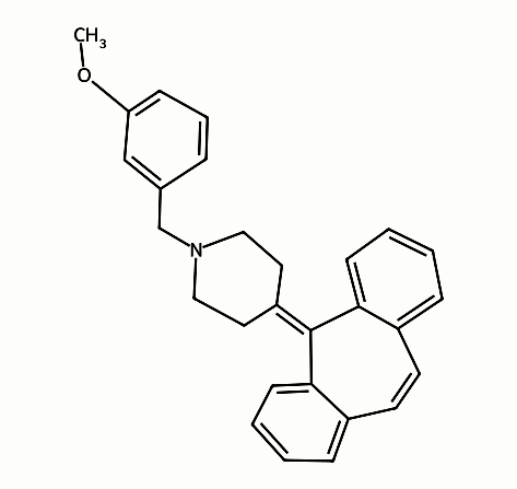 COc1cccc(CN2CCC(=C3c4ccccc4C=Cc4ccccc43)CC2)c1